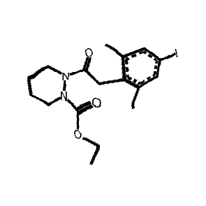 CCOC(=O)N1CCCCN1C(=O)Cc1c(C)cc(I)cc1C